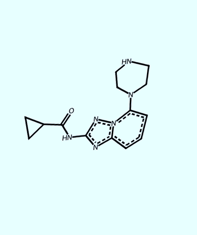 O=C(Nc1nc2cccc(N3CCNCC3)n2n1)C1CC1